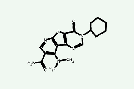 CN(C)c1c(C(N)=O)cnc2sc3c(=O)n(C4CCCCC4)cnc3c12